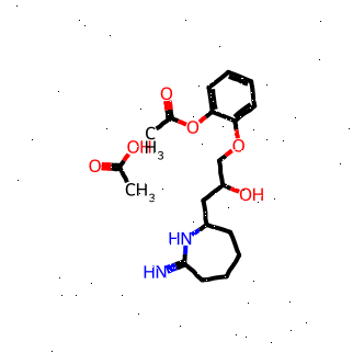 CC(=O)O.CC(=O)Oc1ccccc1OCC(O)CC1CCCCC(=N)N1